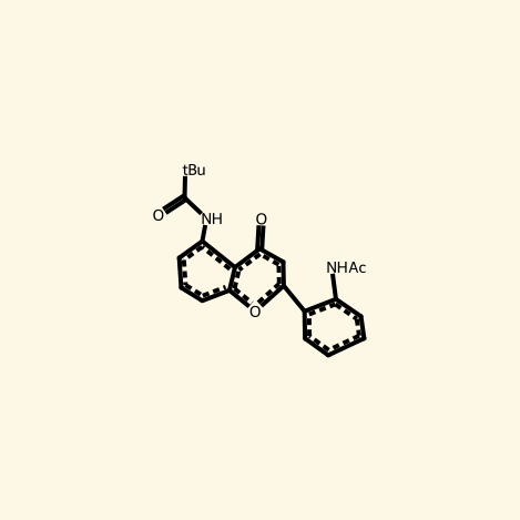 CC(=O)Nc1ccccc1-c1cc(=O)c2c(NC(=O)C(C)(C)C)cccc2o1